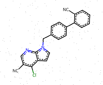 N#Cc1ccccc1-c1ccc(Cn2ccc3c(Cl)c(C#N)cnc32)cc1